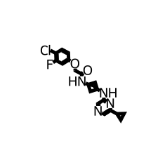 O=C(COc1ccc(Cl)c(F)c1)NC12CC(Nc3cncc(C4CC4)n3)(C1)C2